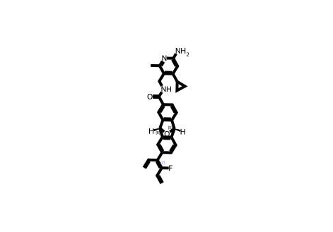 C=C/C(F)=C(\C=C)c1ccc2c(c1)[C@H]1O[C@@H]2c2ccc(C(=O)NCc3c(C4CC4)cc(N)nc3C)cc21